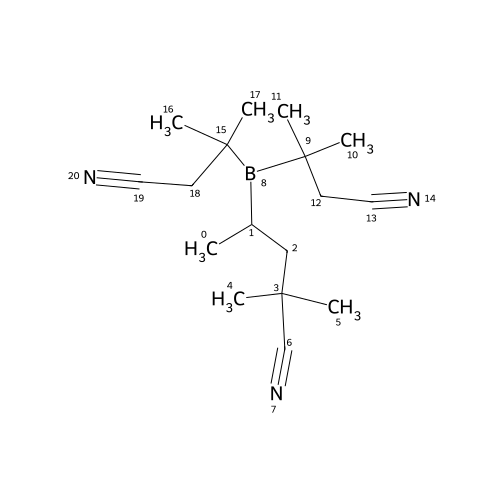 CC(CC(C)(C)C#N)B(C(C)(C)CC#N)C(C)(C)CC#N